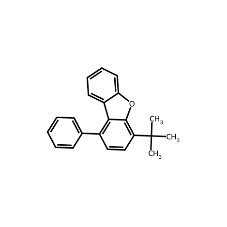 CC(C)(C)c1ccc(-c2ccccc2)c2c1oc1ccccc12